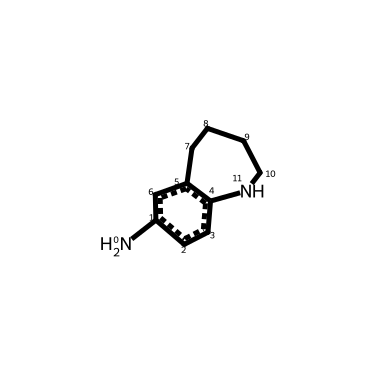 Nc1ccc2c(c1)CCCCN2